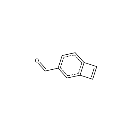 O=Cc1ccc2c(c1)C=C2